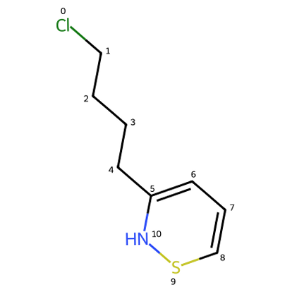 ClCCCCC1=CC=CSN1